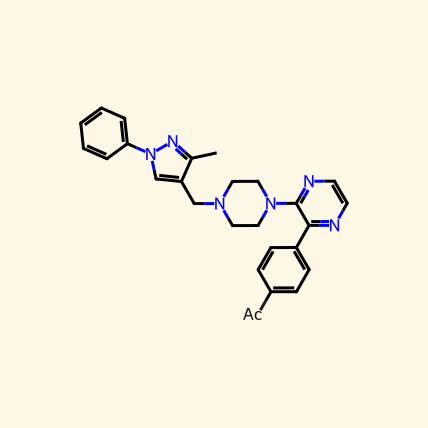 CC(=O)c1ccc(-c2nccnc2N2CCN(Cc3cn(-c4ccccc4)nc3C)CC2)cc1